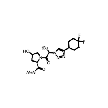 CNC(=O)[C@H]1CC(O)CN1C(=O)C(n1cc(C2CCC(F)(F)CC2)nn1)C(C)(C)C